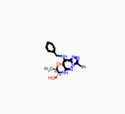 CC(C)c1nnc2c(NCc3ccccc3)cc(N[C@H](CO)[C@@H](C)O)nn12